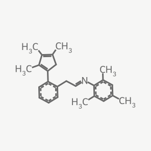 CC1=C(C)C(C)=C(c2ccccc2CC=Nc2c(C)cc(C)cc2C)C1